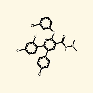 CN(C)NC(=O)c1cc(-c2ccc(Cl)cc2)c(-c2ccc(Cl)cc2Cl)nc1Oc1cccc(Cl)c1